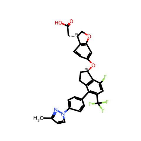 Cc1ccn(-c2ccc(-c3c(C(F)(F)F)cc(F)c4c3CC[C@H]4Oc3ccc4c(c3)OC[C@H]4CC(=O)O)cc2)n1